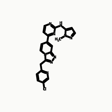 Cn1nccc1Nc1nccc(-c2ccn3c(Cc4ccc(Cl)cn4)nnc3c2)n1